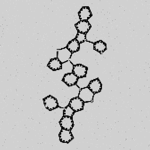 c1cncc(-n2c3cc4c(cc3c3cc5ccccc5cc32)Oc2ccccc2N4c2cccc3c(N4c5ccccc5Oc5cc6c7cc8ccccc8cc7n(-c7cccnc7)c6cc54)cccc23)c1